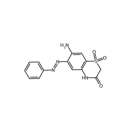 Nc1cc2c(cc1N=Nc1ccccc1)NC(=O)CS2(=O)=O